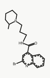 CC1CCCCN1CCCNC(=O)c1cc(Br)nc2ccccc12